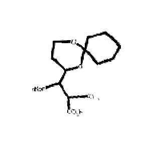 CCCCCCCCCC(C1CCOC2(CCCCC2)O1)C(C)C(=O)O